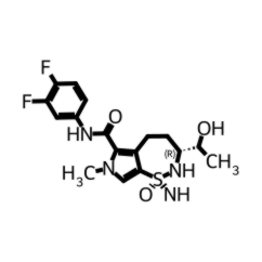 CC(O)[C@H]1CCc2c(cn(C)c2C(=O)Nc2ccc(F)c(F)c2)S(=N)(=O)N1